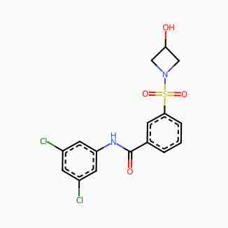 O=C(Nc1cc(Cl)cc(Cl)c1)c1cccc(S(=O)(=O)N2CC(O)C2)c1